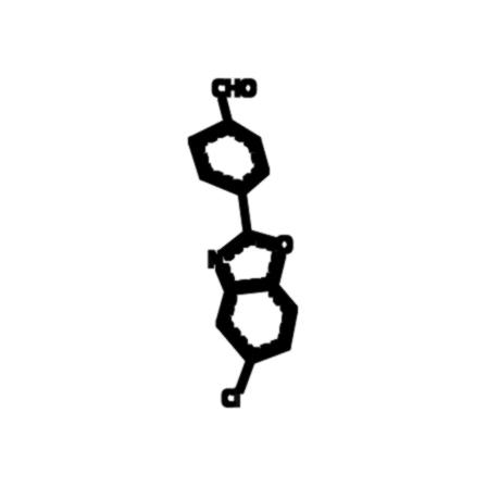 O=Cc1ccc(-c2nc3cc(Cl)ccc3o2)cc1